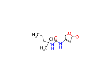 CCCC(C)(C)NC(=O)NC1=CC(=O)OC1